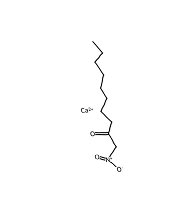 CCCCCCCCC(=O)C[N+](=O)[O-].[Ca+2]